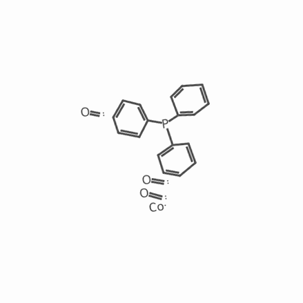 [C]=O.[C]=O.[C]=O.[Co].c1ccc(P(c2ccccc2)c2ccccc2)cc1